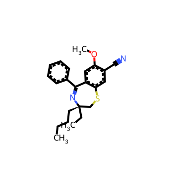 CCCC[C@]1(CC)CSc2cc(C#N)c(OC)cc2C(c2ccccc2)=N1